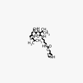 CC(C)c1nc(CN(C)C(=O)NC(C(=O)NCCCCNC(=O)OCC2=CNCS2)C(C)C)cs1